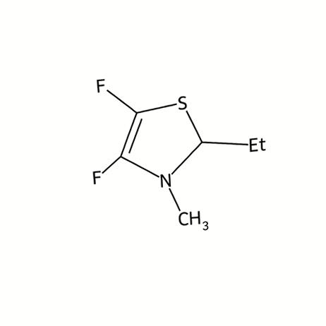 CCC1SC(F)=C(F)N1C